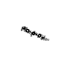 CCCC[C@H](F)C(=O)O[C@H]1CC[C@H](COc2ccc(OC[C@H]3CC[C@H](OC(=O)[C@@H](F)CCCC)CC3)c(F)c2)CC1